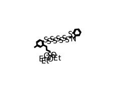 CCO[Si](CCCc1cc(C)ccc1SSSSSSSSc1nc2ccccc2s1)(OCC)OCC